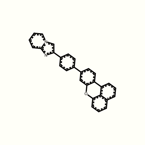 c1cc2c3c(cccc3c1)-c1ccc(-c3ccc(-c4cn5ccccc5n4)cc3)cc1O2